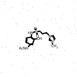 CC(=O)Nc1ccc(NS(=O)(=O)CCCn2cc[n+](C)c2)c(O)c1